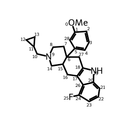 COc1cccc(C23CCN(CC4CC4)CC2Cc2c([nH]c4cccc(F)c24)C3)c1